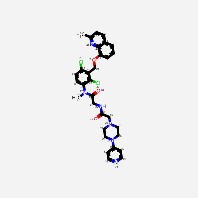 Cc1ccc2cccc(OCc3c(Cl)ccc(N(C)C(=O)CNC(=O)CN4CCN(c5ccncc5)CC4)c3Cl)c2n1